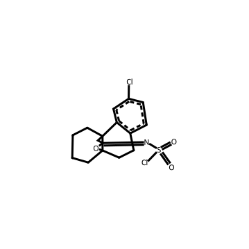 O=S(=O)(Cl)/N=C1/CC23CCCCC2(CCc2ccc(Cl)cc23)O1